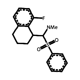 CNC(C1CCCc2cccc(F)c21)S(=O)(=O)c1ccccc1